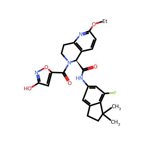 CCOc1ccc2c(n1)CCN(C(=O)c1cc(O)no1)[C@@H]2C(=O)Nc1cc(F)c2c(c1)CCC2(C)C